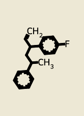 C=CC(CC(C)c1ccccc1)c1ccc(F)cc1